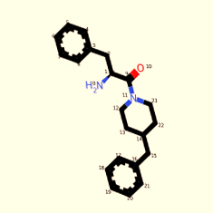 N[C@@H](Cc1ccccc1)C(=O)N1CCC(Cc2ccccc2)CC1